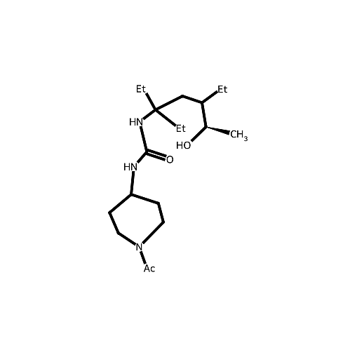 CCC(CC(CC)(CC)NC(=O)NC1CCN(C(C)=O)CC1)[C@@H](C)O